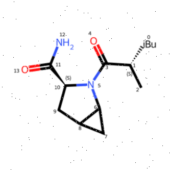 CCC(C)[C@H](C)C(=O)N1C2CC2C[C@H]1C(N)=O